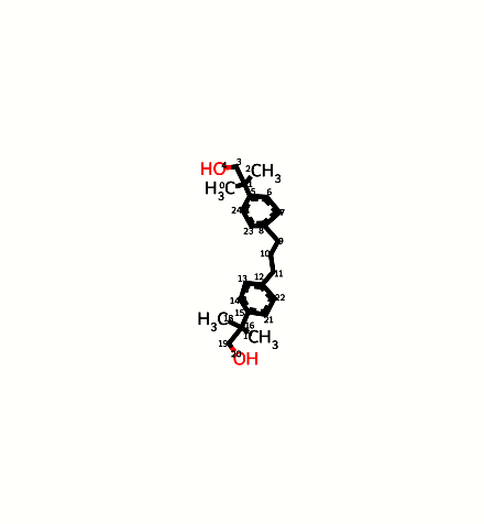 CC(C)(CO)c1ccc(CCCc2ccc(C(C)(C)CO)cc2)cc1